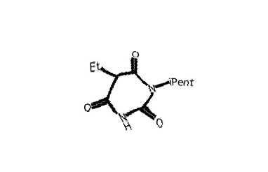 CCCC(C)N1C(=O)NC(=O)C(CC)C1=O